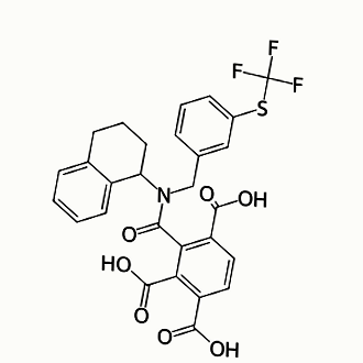 O=C(O)c1ccc(C(=O)O)c(C(=O)N(Cc2cccc(SC(F)(F)F)c2)C2CCCc3ccccc32)c1C(=O)O